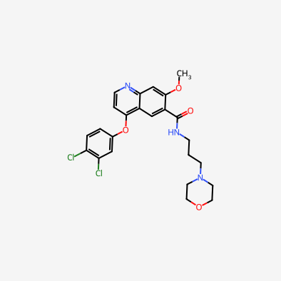 COc1cc2nccc(Oc3ccc(Cl)c(Cl)c3)c2cc1C(=O)NCCCN1CCOCC1